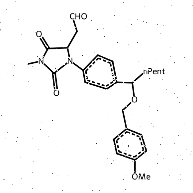 CCCCCC(OCc1ccc(OC)cc1)c1ccc(N2C(=O)N(C)C(=O)C2CC=O)cc1